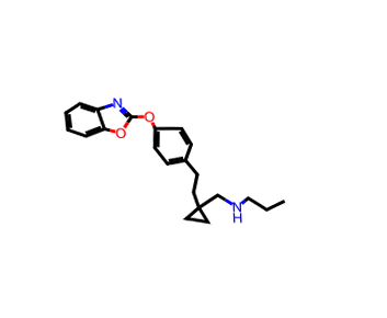 CCCNCC1(CCc2ccc(Oc3nc4ccccc4o3)cc2)CC1